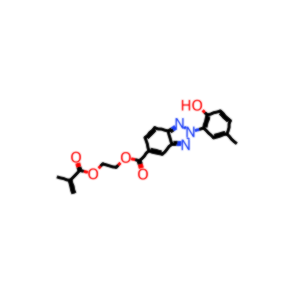 C=C(C)C(=O)OCCOC(=O)c1ccc2nn(-c3cc(C)ccc3O)nc2c1